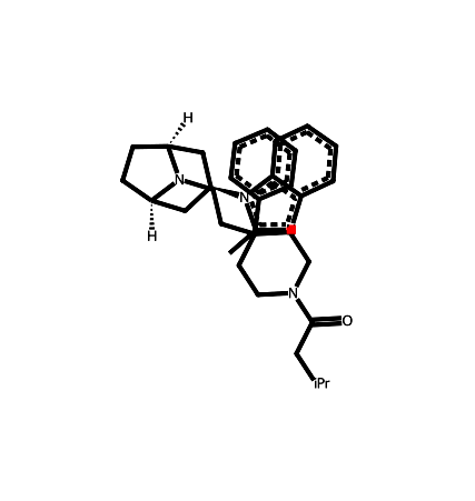 Cc1nc2ccccc2n1[C@H]1C[C@H]2CC[C@@H](C1)N2CCC1(c2ccccc2)CCN(C(=O)CC(C)C)CC1